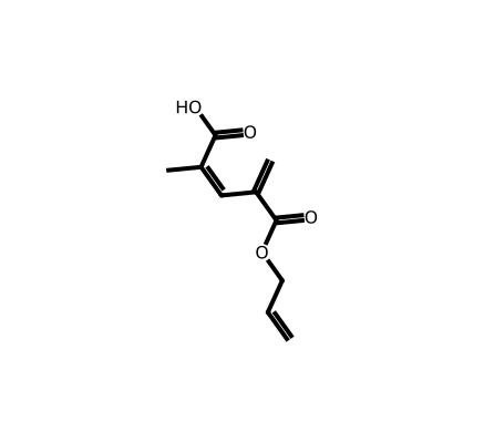 C=CCOC(=O)C(=C)C=C(C)C(=O)O